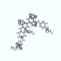 COc1ccc(Cn2ncc3c(-c4cc(OC)c(CC5CCN(CCOS(C)(=O)=O)CC5)c(OC)c4)cn(C)c(=O)c32)cc1